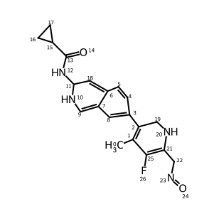 CC1=C(c2ccc3c(c2)=CNC(NC(=O)C2CC2)C=3)CNC(CN=O)=C1F